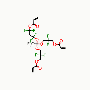 C=CC(=O)OCC(F)(F)COC(OCC(F)(F)COC(=O)C=C)(OC(F)(F)CC(F)(F)OC(=O)C=C)C(F)(F)F